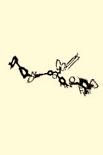 COc1ccc(CC(=O)Nc2ccc(C(=O)C(CC(=O)O)Cc3ccc(-c4coc(-c5ccc(-c6ccc(C)cc6)cc5)n4)cc3)cc2)c(C(F)(F)F)c1